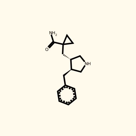 NC(=O)C1(C[C@@H]2CNC[C@H]2Cc2ccccc2)CC1